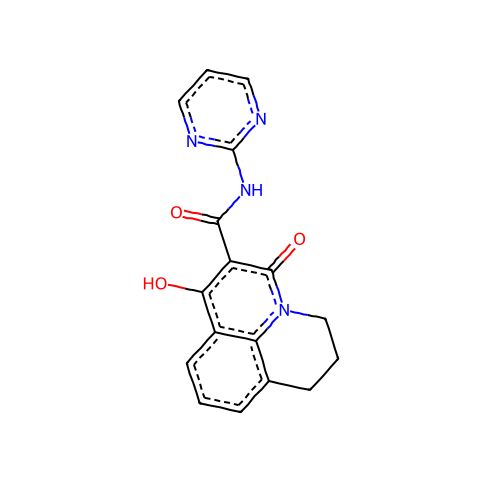 O=C(Nc1ncccn1)c1c(O)c2cccc3c2n(c1=O)CCC3